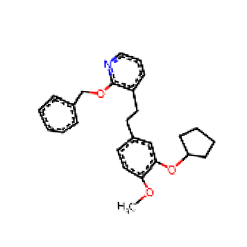 COc1ccc(CCc2cccnc2OCc2ccccc2)cc1OC1CCCC1